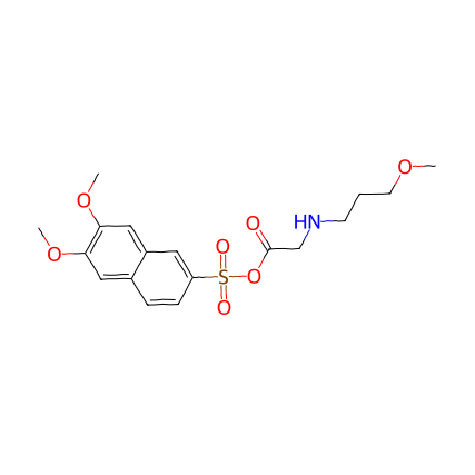 COCCCNCC(=O)OS(=O)(=O)c1ccc2cc(OC)c(OC)cc2c1